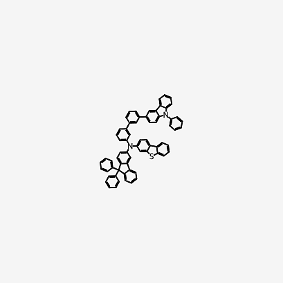 c1ccc(-n2c3ccccc3c3cc(-c4cccc(-c5cccc(N(c6ccc7c(c6)-c6ccccc6C7(c6ccccc6)c6ccccc6)c6ccc7c(c6)sc6ccccc67)c5)c4)ccc32)cc1